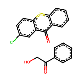 O=C(CO)c1ccccc1.O=c1c2ccccc2sc2ccc(Cl)cc12